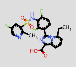 CCc1cccc2c(C(=O)O)nc(-c3ccc(F)c(NS(=O)(=O)c4cc(F)cnc4C)c3F)n12